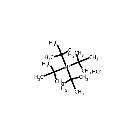 CC(C)(C)[N+](C(C)(C)C)(C(C)(C)C)C(C)(C)C.[OH-]